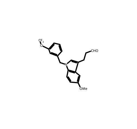 COc1ccc2c(c1)c(CCC=O)cn2Cc1cccc(OC(F)(F)F)c1